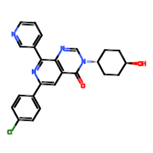 O=c1c2cc(-c3ccc(Cl)cc3)nc(-c3cccnc3)c2ncn1[C@H]1CC[C@H](O)CC1